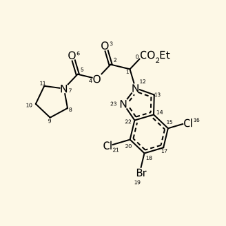 CCOC(=O)C(C(=O)OC(=O)N1CCCC1)n1cc2c(Cl)cc(Br)c(Cl)c2n1